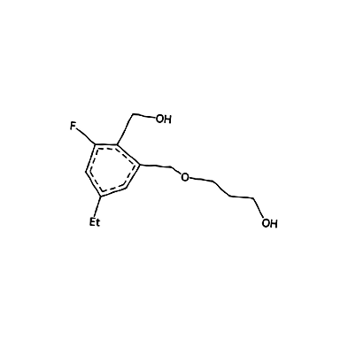 CCc1cc(F)c(CO)c(COCCCO)c1